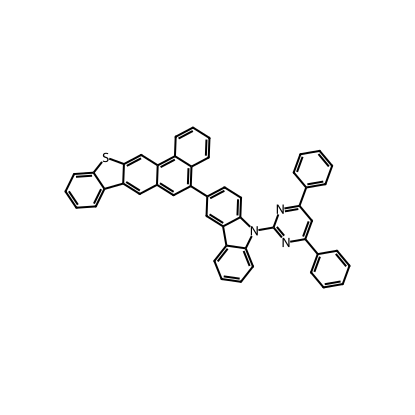 c1ccc(-c2cc(-c3ccccc3)nc(-n3c4ccccc4c4cc(-c5cc6cc7c(cc6c6ccccc56)sc5ccccc57)ccc43)n2)cc1